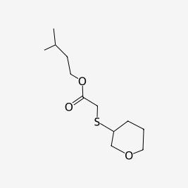 CC(C)CCOC(=O)CSC1CCCOC1